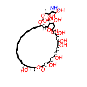 C[C@@H]1[C@H](O)[C@@H](C)/C=C/C=C/C=C/C=C/C=C/C=C/C=C/[C@H](OCO[C@H](C)[C@@H](O)[C@H](N)CO)C[C@@H]2O[C@](O)(C[C@@H](O)C[C@@H](O)[C@H](O)CC[C@@H](O)C[C@@H](O)CC(=O)O[C@H]1C)C[C@H](O)[C@H]2C(=O)O